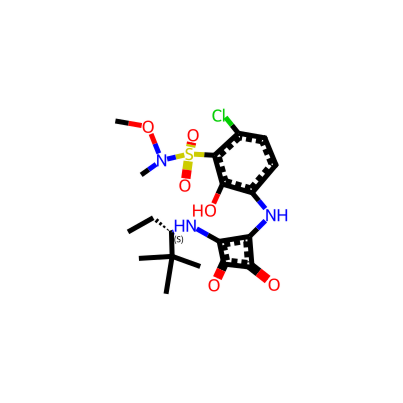 CC[C@H](Nc1c(Nc2ccc(Cl)c(S(=O)(=O)N(C)OC)c2O)c(=O)c1=O)C(C)(C)C